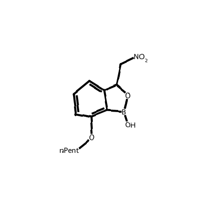 CCCCCOc1cccc2c1B(O)OC2C[N+](=O)[O-]